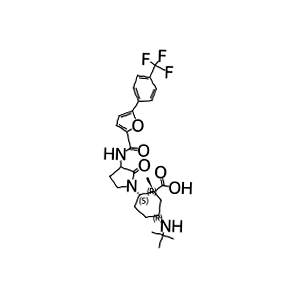 CC(C)(C)N[C@@H]1CC[C@H](N2CCC(NC(=O)c3ccc(-c4ccc(C(F)(F)F)cc4)o3)C2=O)[C@](C)(C(=O)O)C1